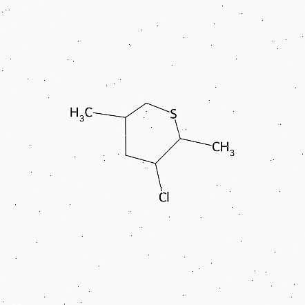 CC1CSC(C)C(Cl)C1